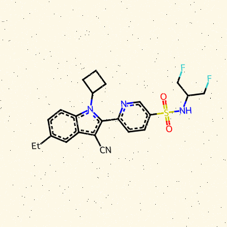 CCc1ccc2c(c1)c(C#N)c(-c1ccc(S(=O)(=O)NC(CF)CF)cn1)n2C1CCC1